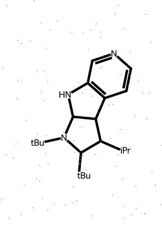 CC(C)C1C2c3ccncc3NC2N(C(C)(C)C)C1C(C)(C)C